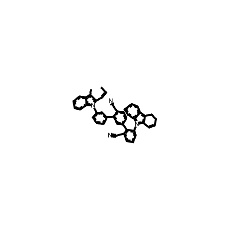 C/C=C\c1c(C)c2ccccc2n1-c1cccc(-c2cc(-c3c(C#N)cccc3-n3c4c(c5ccccc53)CCC=C4)ccc2C#N)c1